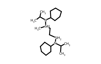 CC(C)N([SiH2]CC[SiH](C)N(C(C)C)C1CCCCC1)C1CCCCC1